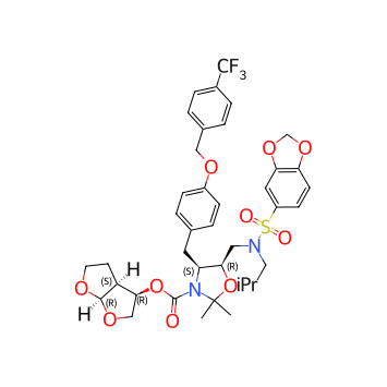 CC(C)CN(C[C@H]1OC(C)(C)N(C(=O)O[C@H]2CO[C@H]3OCC[C@H]32)[C@H]1Cc1ccc(OCc2ccc(C(F)(F)F)cc2)cc1)S(=O)(=O)c1ccc2c(c1)OCO2